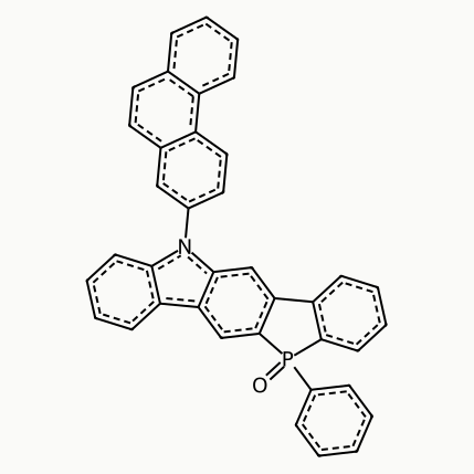 O=P1(c2ccccc2)c2ccccc2-c2cc3c(cc21)c1ccccc1n3-c1ccc2c(ccc3ccccc32)c1